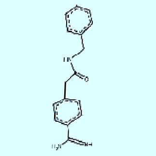 N=C(N)c1ccc(CC(=O)NCc2cc[c]cc2)cc1